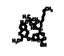 C=CCCCCC[C@H](NC(=O)OC(C)(C)C)C(=O)N1C[C@H](Oc2nc3ccccc3nc2CC)C[C@H]1C(=O)O